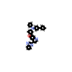 c1ccc(-c2ccc(N(c3ccccc3)c3ccc4oc5cc6c(-c7cnc8ccccc8n7)ccnc6cc5c4c3)cc2)cc1